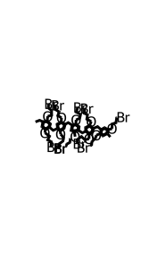 CCc1cc(OCCCBr)c(Cc2cc(OCCCBr)c(Cc3cc(OCCCBr)c(Cc4cc(OCCCBr)c(Cc5cc(OCCCBr)c(C)cc5OCCCBr)cc4OCCCBr)cc3OCCCBr)cc2OCCCBr)cc1OCCCBr